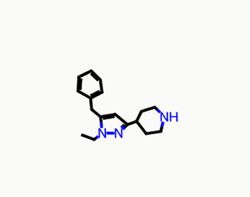 CCn1nc(C2CCNCC2)cc1Cc1ccccc1